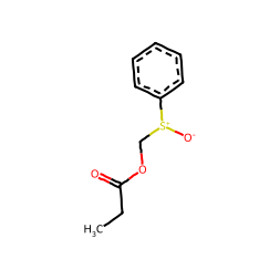 CCC(=O)OC[S+]([O-])c1ccccc1